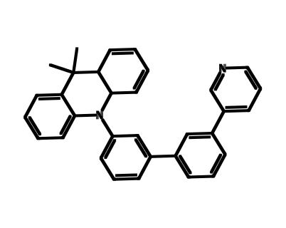 CC1(C)c2ccccc2N(c2cccc(-c3cccc(-c4cccnc4)c3)c2)C2C=CC=CC21